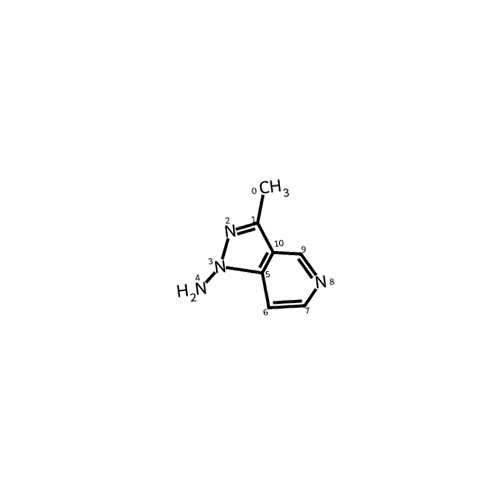 Cc1nn(N)c2ccncc12